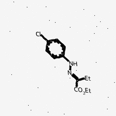 CCOC(=O)C(CC)=NNc1ccc(Cl)cc1